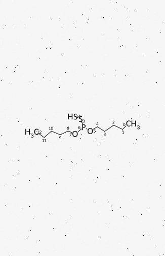 CCCCCOP(OCCCCC)SS